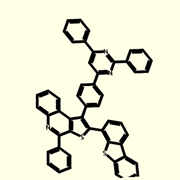 c1ccc(-c2cc(-c3ccc(-c4c(-c5cccc6c5sc5ccccc56)sc5c(-c6ccccc6)nc6ccccc6c45)cc3)nc(-c3ccccc3)n2)cc1